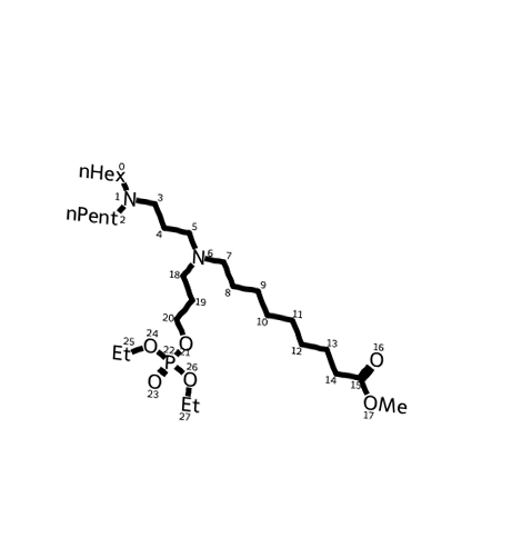 CCCCCCN(CCCCC)CCCN(CCCCCCCCC(=O)OC)CCCOP(=O)(OCC)OCC